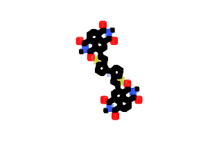 CN1C(=O)c2ccc3c4c(c(-c5cc6c(s5)CC/C6=C5/CCc6sc(-c7cc8c9c(ccc%10c9c7C(=O)N(C)C%10=O)C(=O)N(C)C8=O)cc65)cc(c24)C1=O)C(=O)N(C)C3=O